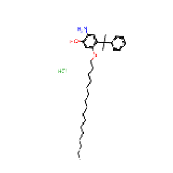 CCCCCCCCCCCCCCCCOc1cc(O)c(N)cc1C(C)(C)c1ccccc1.Cl